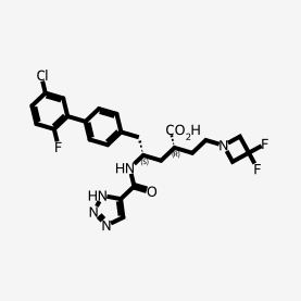 O=C(N[C@H](Cc1ccc(-c2cc(Cl)ccc2F)cc1)C[C@@H](CCN1CC(F)(F)C1)C(=O)O)c1cnn[nH]1